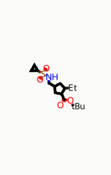 CCC1CC(CNS(=O)(=O)C2CC2)CC1C(=O)OC(C)(C)C